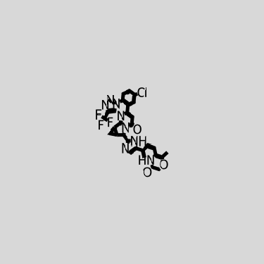 C=C(/C=C\C1=C(C)OCC(=O)N1)c1cnc(C2C3CC3c3nc(-c4cc(Cl)ccc4-n4cc(C(F)(F)F)nn4)cc(=O)n32)[nH]1